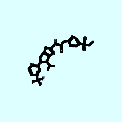 CCS(=O)(=O)c1ccc(CC(=O)Nc2nc3c(s2)CN(c2nccc(C(F)(F)F)n2)C3C(C)C)cc1